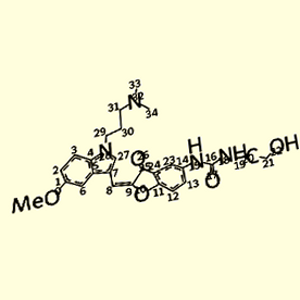 COc1ccc2c(c1)c(C=C1Oc3ccc(NC(=O)NCCCO)cc3C1=O)cn2CCCN(C)C